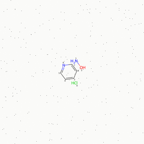 Cl.NO.c1ccncc1